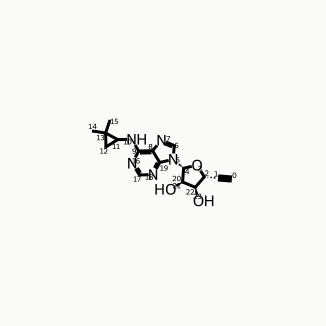 C#C[C@H]1O[C@@H](n2cnc3c(NC4CC4(C)C)ncnc32)[C@H](O)[C@@H]1O